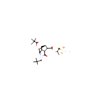 CC(OC(=O)C1C2CC3C1C(=O)N(C(=O)C(C)(C)C)C3C2OC(=O)C(C)(C)C)C(F)(F)S(=O)(=O)O